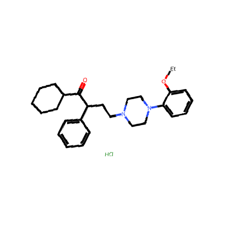 CCOc1ccccc1N1CCN(CCC(C(=O)C2CCCCC2)c2ccccc2)CC1.Cl